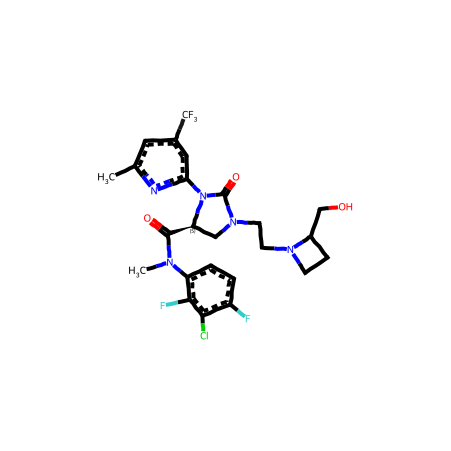 Cc1cc(C(F)(F)F)cc(N2C(=O)N(CCN3CCC3CO)C[C@H]2C(=O)N(C)c2ccc(F)c(Cl)c2F)n1